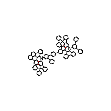 c1ccc(-c2cc(-c3ccccc3)cc(N(c3ccc4c(c3)-c3ccccc3C4(c3ccccc3)c3ccccc3)c3c(-c4cccc5cc(-c6ccc(-c7ccc(N(c8ccc9c(c8)-c8ccccc8C9(c8ccccc8)c8ccccc8)c8c9ccccc9c9ccc%10cccc%11c%12ccccc%12c8c9c%10%11)cc7-c7ccccc7)cc6)ccc45)c4ccccc4c4ccccc34)c2)cc1